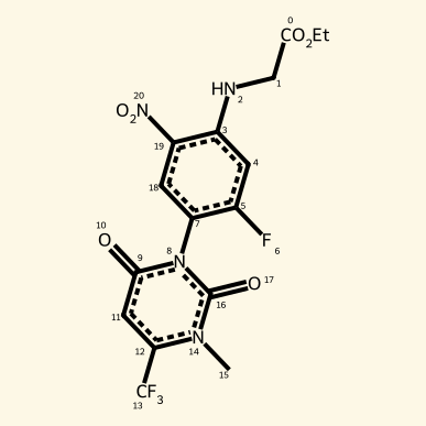 CCOC(=O)CNc1cc(F)c(-n2c(=O)cc(C(F)(F)F)n(C)c2=O)cc1[N+](=O)[O-]